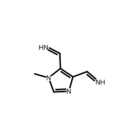 Cn1cnc(C=N)c1C=N